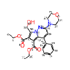 CCOC(=O)c1c(C(=O)OCC)c2c(-c3ccccc3)cc(N3CCOCC3)nn2c1CO